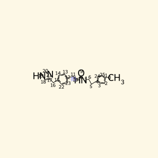 Cc1ccc(CCNC(=O)/C=C/c2ccc(Cc3c[nH]cn3)cc2)cc1